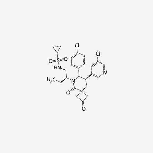 CC[C@@H](CNS(=O)(=O)C1CC1)N1C(=O)C2(CC(=O)C2)C[C@H](c2cncc(Cl)c2)[C@H]1c1ccc(Cl)cc1